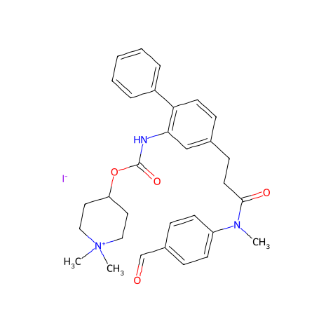 CN(C(=O)CCc1ccc(-c2ccccc2)c(NC(=O)OC2CC[N+](C)(C)CC2)c1)c1ccc(C=O)cc1.[I-]